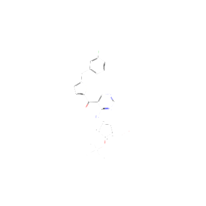 CC(C)(C)[Si](C)(C)O[C@@H]1[C@@H](CO)C[C@@H](Nc2ncncc2C(=O)c2ccc(Cc3cccc(Cl)c3)s2)[C@H]1F